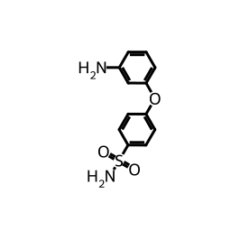 Nc1cccc(Oc2ccc(S(N)(=O)=O)cc2)c1